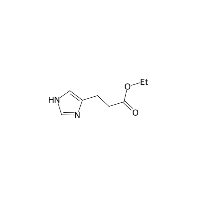 CCOC(=O)CCc1c[nH]cn1